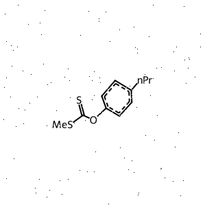 CCCc1ccc(OC(=S)SC)cc1